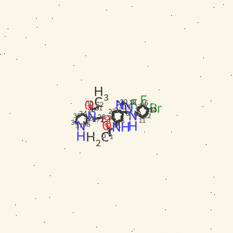 C=CC(=O)Nc1cc2c(Nc3ccc(Br)c(F)c3F)ncnc2cc1OCCN(C(=O)CC)C1CCCNC1